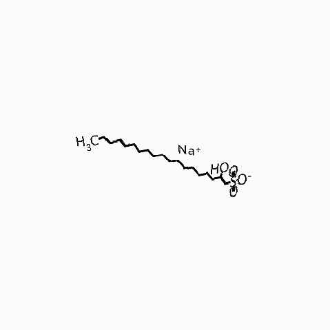 CCCCCCCCCCCCCCCCCC(O)CS(=O)(=O)[O-].[Na+]